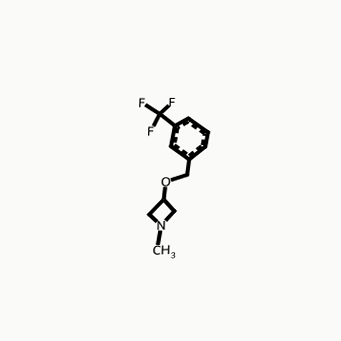 CN1CC(OCc2cccc(C(F)(F)F)c2)C1